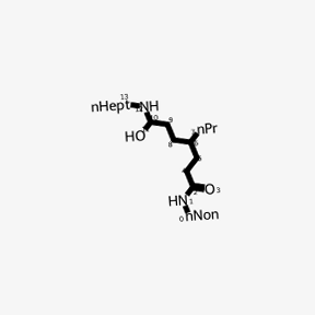 CCCCCCCCCNC(=O)CCC(CCC)CCC(O)NCCCCCCC